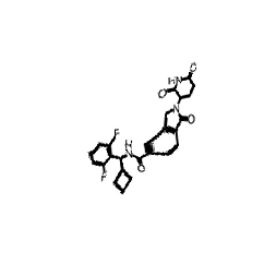 O=C1CCC(N2Cc3cc(C(=O)NC(c4c(F)cccc4F)C4CCC4)ccc3C2=O)C(=O)N1